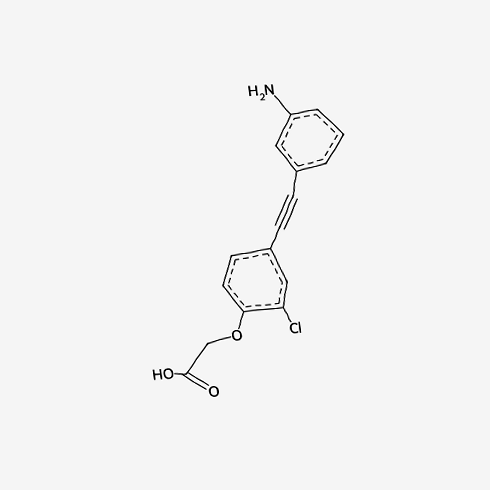 Nc1cccc(C#Cc2ccc(OCC(=O)O)c(Cl)c2)c1